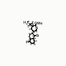 COc1ncc(C2CCc3c(F)cccc3C2=O)cc1C(C)(F)F